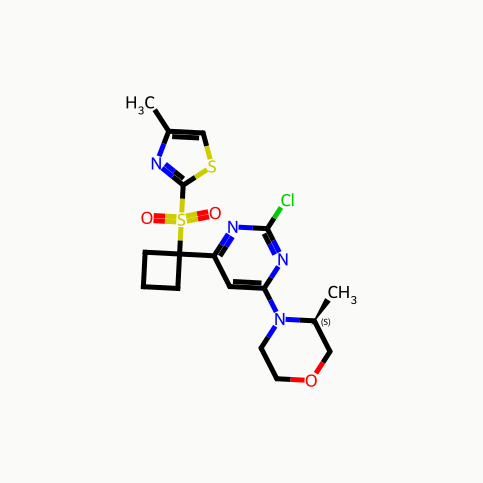 Cc1csc(S(=O)(=O)C2(c3cc(N4CCOC[C@@H]4C)nc(Cl)n3)CCC2)n1